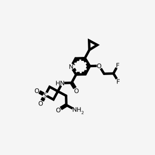 NC(=O)CC1(NC(=O)c2cc(OCC(F)F)c(C3CC3)cn2)CS(=O)(=O)C1